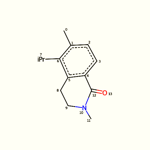 Cc1ccc2c(c1C(C)C)CCN(C)C2=O